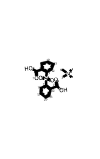 C[N+](C)(C)C.O=C(O)c1ccccc1S(=O)(=O)c1ccccc1C(=O)O